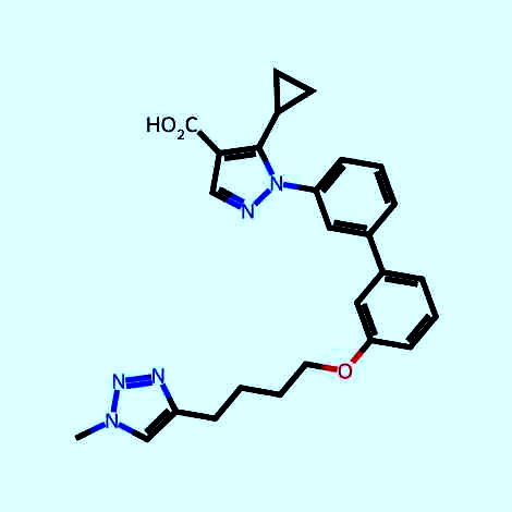 Cn1cc(CCCCOc2cccc(-c3cccc(-n4ncc(C(=O)O)c4C4CC4)c3)c2)nn1